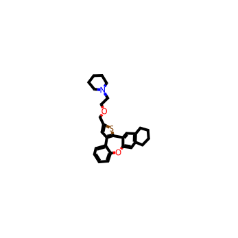 c1ccc2c(c1)Oc1cc3c(cc1-c1sc(COCCN4CCCCC4)cc1-2)CCCC3